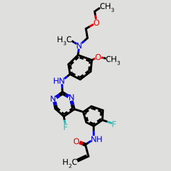 C=CC(=O)Nc1cc(-c2nc(Nc3ccc(OC)c(N(C)CCOCC)c3)ncc2F)ccc1F